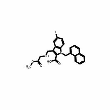 COC(=O)CNCc1c(C(=O)O)n(Cc2cccc3ccccc23)c2ccc(F)cc12